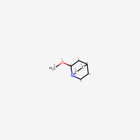 COC1CC2CCN1CC2